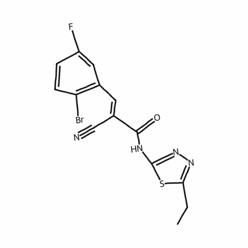 CCc1nnc(NC(=O)/C(C#N)=C/c2cc(F)ccc2Br)s1